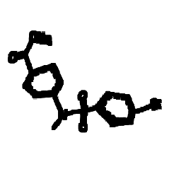 COC(=O)c1ccc(N(C)S(=O)(=O)c2ccc(Br)cc2)cc1